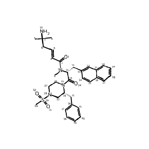 CN(C(=O)C=CCC(C)(C)N)[C@H](Cc1ccc2ccccc2c1)C(=O)N1CCN(S(C)(=O)=O)C[C@H]1Cc1ccccc1